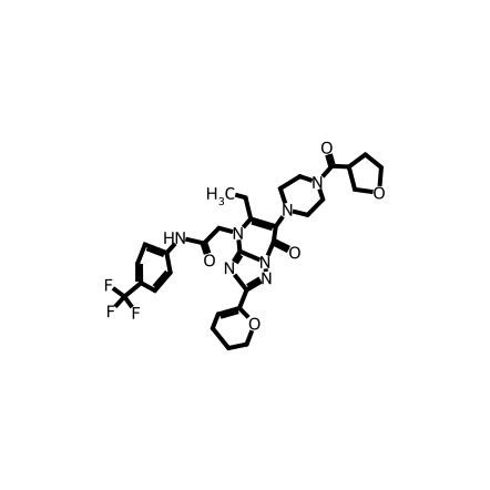 CCc1c(N2CCN(C(=O)C3CCOC3)CC2)c(=O)n2nc(C3=CCCCO3)nc2n1CC(=O)Nc1ccc(C(F)(F)F)cc1